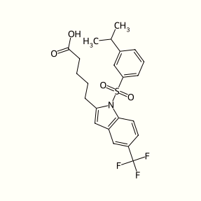 CC(C)c1cccc(S(=O)(=O)n2c(CCCCC(=O)O)cc3cc(C(F)(F)F)ccc32)c1